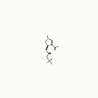 CC(=O)C1CC(O)C/C1=C/C(=O)[C@@H](N)C(C)(C)C